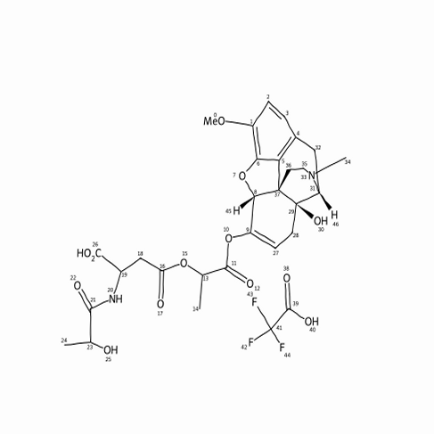 COc1ccc2c3c1O[C@H]1C(OC(=O)C(C)OC(=O)CC(NC(=O)C(C)O)C(=O)O)=CC[C@@]4(O)[C@@H](C2)N(C)CC[C@]314.O=C(O)C(F)(F)F